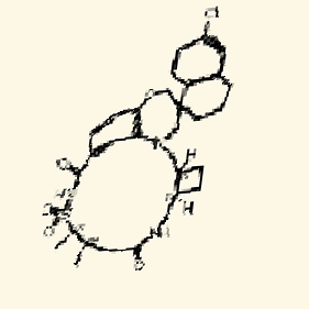 C[C@@H]1CC(=O)NC[C@@H]2CC[C@H]2CN2CC3(CCCc4cc(Cl)ccc43)COc3ccc(cc32)C(=O)NS(=O)(=O)[C@@H]1C